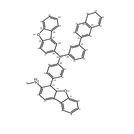 C[SiH2]C1=CC=C2c3ccccc3OC2C1c1ccc(N(c2cccc(-c3ccc4c(c3)C=CCC4)c2)c2ccc3oc4ccccc4c3c2)cc1